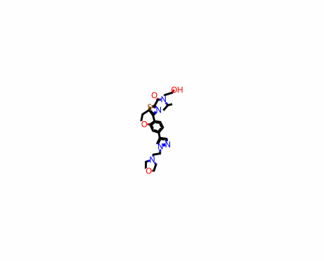 CC(C)N(CCO)C(=O)c1nc2c(s1)CCOc1cc(-c3cnn(CCN4CCOCC4)c3)ccc1-2